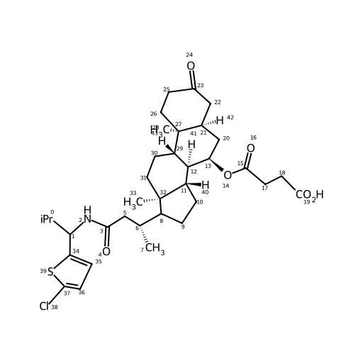 CC(C)C(NC(=O)C[C@@H](C)C1CC[C@H]2[C@@H]3[C@H](OC(=O)CCC(=O)O)C[C@@H]4CC(=O)CC[C@]4(C)[C@H]3CC[C@]12C)c1ccc(Cl)s1